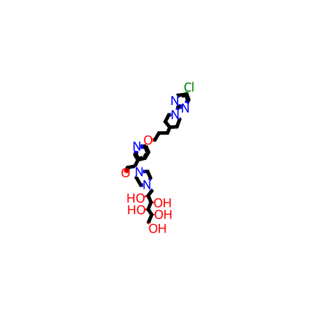 O=CC(c1ccc(OCCCC2CCN(c3ncc(Cl)cn3)CC2)nc1)N1CCN(C[C@H](O)[C@@H](O)[C@H](O)[C@H](O)CO)CC1